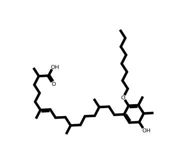 CCCCCCCCOC1=C(C)C(C)C(O)C=C1CCC(C)CCCC(C)CC/C=C(\C)CCCC(C)C(=O)O